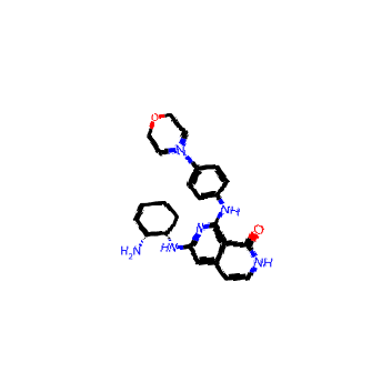 N[C@@H]1CCCC[C@@H]1Nc1cc2cc[nH]c(=O)c2c(Nc2ccc(N3CCOCC3)cc2)n1